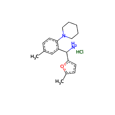 Cc1ccc(N2CCCCC2)c(C(N)c2ccc(C)o2)c1.Cl